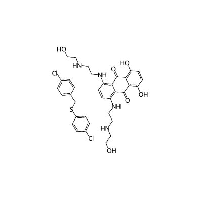 Clc1ccc(CSc2ccc(Cl)cc2)cc1.O=C1c2c(O)ccc(O)c2C(=O)c2c(NCCNCCO)ccc(NCCNCCO)c21